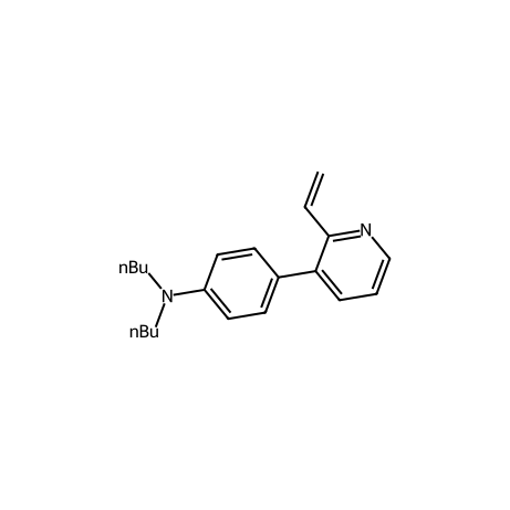 C=Cc1ncccc1-c1ccc(N(CCCC)CCCC)cc1